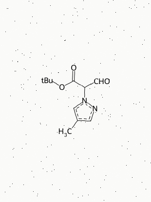 Cc1cnn(C(C=O)C(=O)OC(C)(C)C)c1